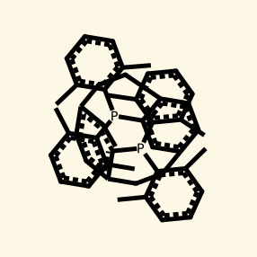 Cc1cccc(C)c1P(c1cc2ccc1CCc1ccc(c(P(c3c(C)cccc3C)c3c(C)cccc3C)c1)CC2)c1c(C)cccc1C